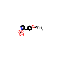 CCCOc1ccc(Cc2cccnc2OC(=O)O)cc1